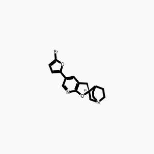 Brc1ccc(-c2cnc3c(c2)C[C@@]2(CN4CCC2CC4)O3)o1